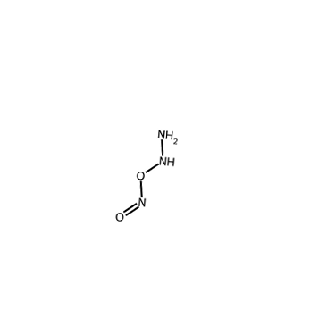 NNON=O